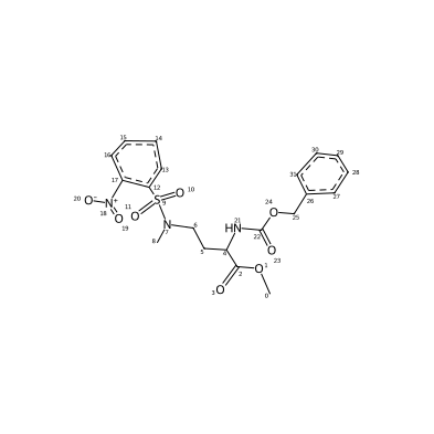 COC(=O)C(CCN(C)S(=O)(=O)c1ccccc1[N+](=O)[O-])NC(=O)OCc1ccccc1